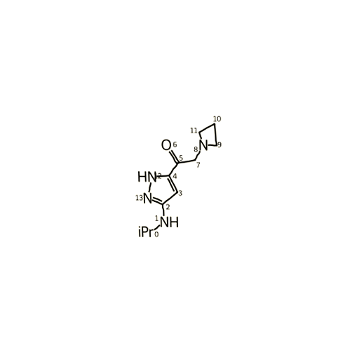 CC(C)Nc1cc(C(=O)CN2CCC2)[nH]n1